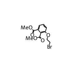 COC(=O)c1cccc(OCCBr)c1C(=O)OC